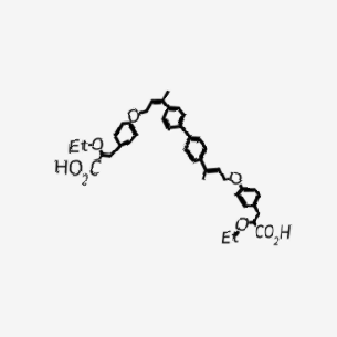 CCOC(Cc1ccc(OCC=C(C)c2ccc(-c3ccc(C(C)=CCOc4ccc(CC(OCC)C(=O)O)cc4)cc3)cc2)cc1)C(=O)O